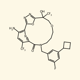 Nc1cc(C(F)(F)F)c2nc1-c1nnc(o1)C(O)(C(F)(F)F)COCCCN(Cc1cc(F)cc(C3CCC3)c1)C2=O